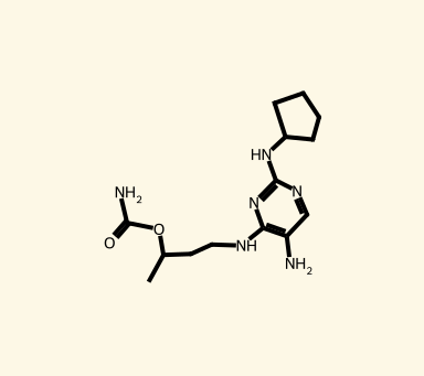 CC(CCNc1nc(NC2CCCC2)ncc1N)OC(N)=O